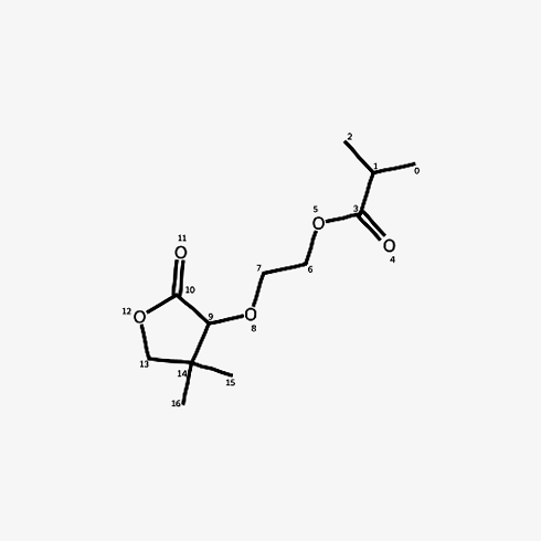 CC(C)C(=O)OCCOC1C(=O)OCC1(C)C